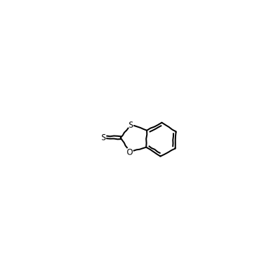 S=c1oc2ccccc2s1